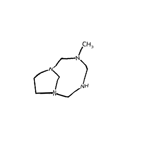 CN1CNCN2CCN(C1)C2